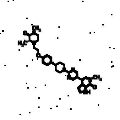 C[C@@H]1C(=O)N(C)CCN1CCOc1ccc(C2CCN(c3ncc(-c4cn(C)c(=O)c5[nH]ccc45)cn3)CC2)cc1